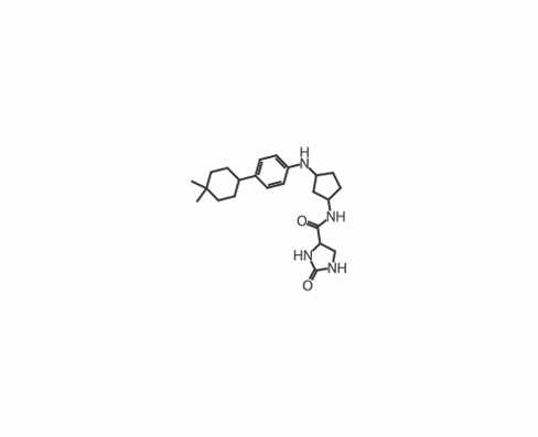 CC1(C)CCC(c2ccc(NC3CCC(NC(=O)C4CNC(=O)N4)C3)cc2)CC1